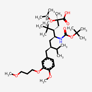 COCCCOc1cc(C[C@@H](C[C@H](NC(=O)OC(C)(C)C)[C@@H](C[C@@](C)(O[SiH](C)C)C(=O)O)C(C)(C)C)C(C)C)ccc1OC